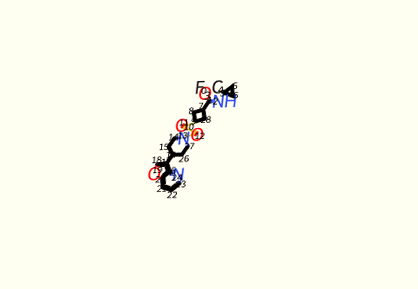 O=C(NC1(C(F)(F)F)CC1)C1CC(S(=O)(=O)N2CCC(c3coc4cccnc34)CC2)C1